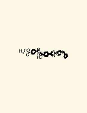 COC(=O)[C@H]1CC[C@H](C(=O)NNC(=O)c2ccc(-c3cnc(N4CCN(CC5CCCC5)CC4)nc3)cc2)CC1